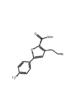 COC(=O)c1sc(-c2ccc(C(F)(F)F)cc2)cc1CCBr